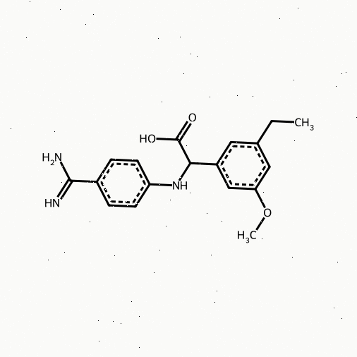 CCc1cc(OC)cc(C(Nc2ccc(C(=N)N)cc2)C(=O)O)c1